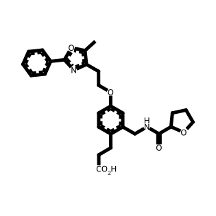 Cc1oc(-c2ccccc2)nc1CCOc1ccc(CCC(=O)O)c(CNC(=O)C2CCCO2)c1